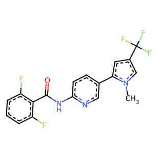 Cn1cc(C(F)(F)F)cc1-c1ccc(NC(=O)c2c(F)cccc2F)nc1